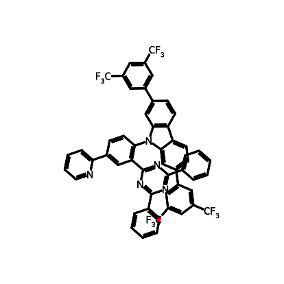 FC(F)(F)c1cc(-c2ccc3c4ccc(-c5cc(C(F)(F)F)cc(C(F)(F)F)c5)cc4n(-c4ccc(-c5ccccn5)cc4-c4nc(-c5ccccc5)nc(-c5ccccc5)n4)c3c2)cc(C(F)(F)F)c1